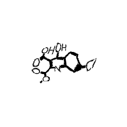 COC(=O)c1nc2cc(Cl)ccc2c(O)c1C(=O)O